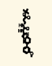 COc1cccc(-c2ccc3nc(NC(=O)NCCC(=O)OC(C)(C)C)cn3n2)c1